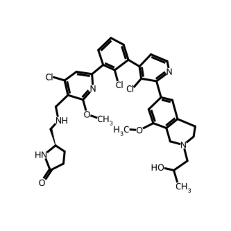 COc1cc(-c2nccc(-c3cccc(-c4cc(Cl)c(CNC[C@H]5CCC(=O)N5)c(OC)n4)c3Cl)c2Cl)cc2c1CN(CC(C)O)CC2